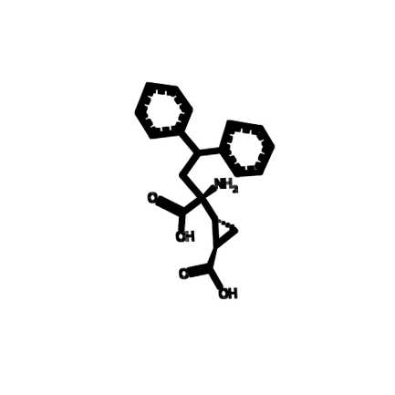 N[C@](CC(c1ccccc1)c1ccccc1)(C(=O)O)[C@@H]1C[C@H]1C(=O)O